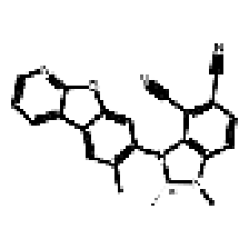 Cc1cc2c(cc1N1c3c(ccc(C#N)c3C#N)N(C)[C@@H]1C)oc1ncccc12